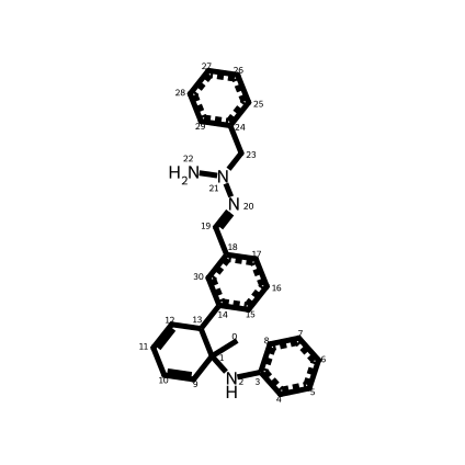 CC1(Nc2ccccc2)C=CC=CC1c1cccc(/C=N/N(N)Cc2ccccc2)c1